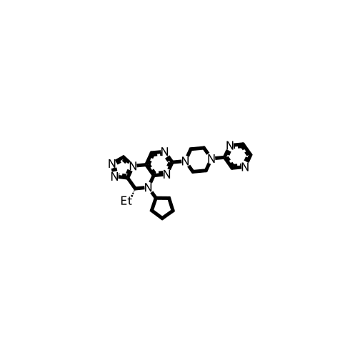 CC[C@@H]1c2nncn2-c2cnc(N3CCN(c4cnccn4)CC3)nc2N1C1CCCC1